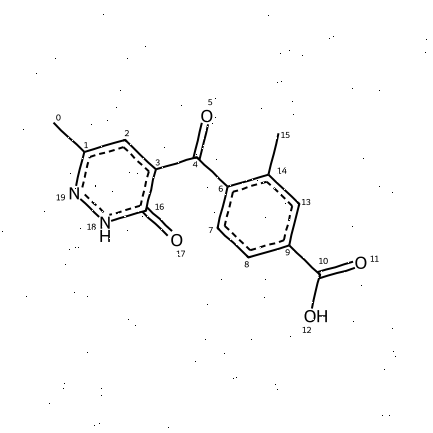 Cc1cc(C(=O)c2ccc(C(=O)O)cc2C)c(=O)[nH]n1